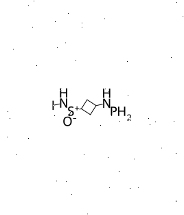 [O-][S+](NI)C1CC(NP)C1